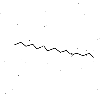 CCCCCCCCC[CH]SCCCC